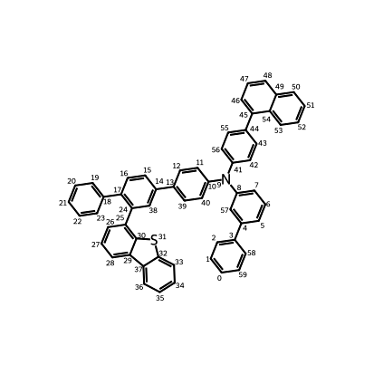 c1ccc(-c2cccc(N(c3ccc(-c4ccc(-c5ccccc5)c(-c5cccc6c5sc5ccccc56)c4)cc3)c3ccc(-c4cccc5ccccc45)cc3)c2)cc1